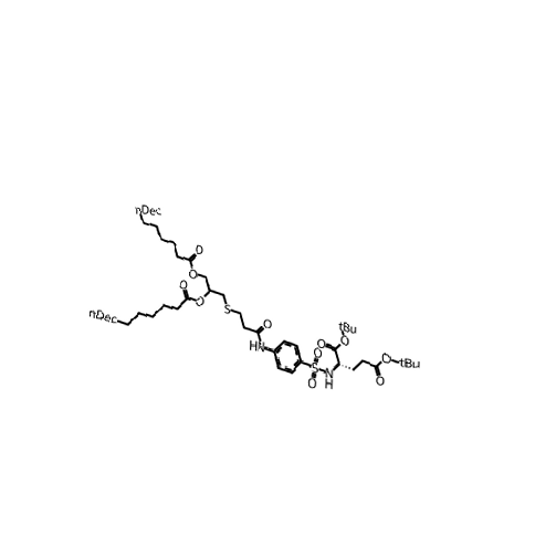 CCCCCCCCCCCCCCCC(=O)OCC(CSCCC(=O)Nc1ccc(S(=O)(=O)N[C@@H](CCC(=O)OC(C)(C)C)C(=O)OC(C)(C)C)cc1)OC(=O)CCCCCCCCCCCCCCC